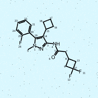 Cn1nc(NC(=O)CC2CC(F)(F)C2)c(C2CCC2)c1-c1ccccc1F